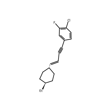 CC[C@H]1CC[C@H](C=CC#Cc2ccc(Cl)c(F)c2)CC1